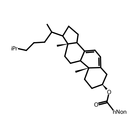 CCCCCCCCCC(=O)O[C@H]1CC[C@@]2(C)C(=CC=C3C4CCC(C(C)CCCC(C)C)[C@@]4(C)CCC32)C1